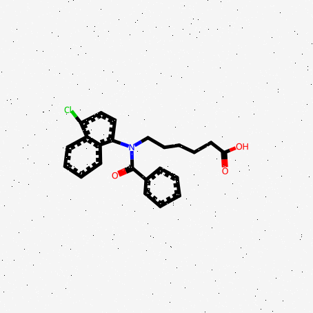 O=C(O)CCCCCN(C(=O)c1ccccc1)c1ccc(Cl)c2ccccc12